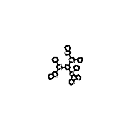 c1ccc(-c2cc(-c3cnc4ccccc4c3)nc(-c3cc(-c4nc(-c5ccccc5)cc(-c5cnc6ccccc6c5)n4)cc(-c4nc5c6cccnc6c6ncccc6c5n4-c4ccccc4)c3)n2)cc1